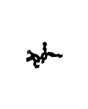 CCCCCC1CC(=O)C(C2=CC(O)C(O)C(CO)O2)=CC1CCCC